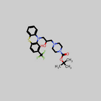 CC(C)(C)OC(=O)N1CCN(CC(O)CN2c3ccccc3Sc3ccc(C(F)(F)F)cc32)CC1